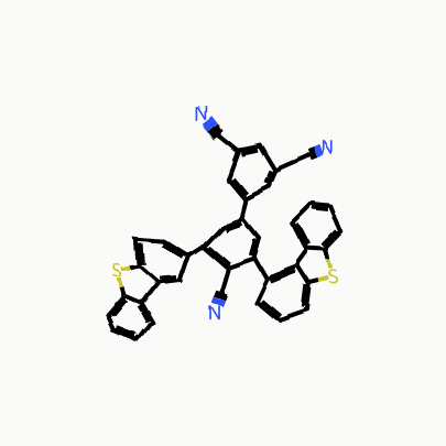 N#Cc1cc(C#N)cc(-c2cc(-c3ccc4sc5ccccc5c4c3)c(C#N)c(-c3cccc4sc5ccccc5c34)c2)c1